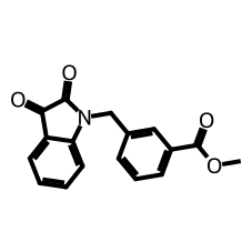 COC(=O)c1cccc(CN2C(=O)C(=O)c3ccccc32)c1